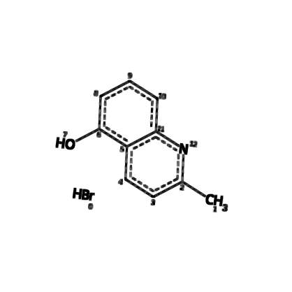 Br.Cc1ccc2c(O)cccc2n1